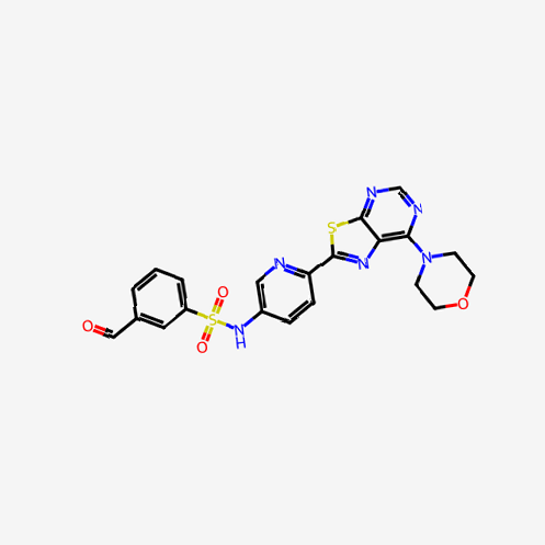 O=Cc1cccc(S(=O)(=O)Nc2ccc(-c3nc4c(N5CCOCC5)ncnc4s3)nc2)c1